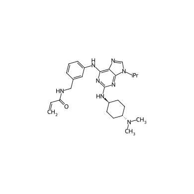 C=CC(=O)NCc1cccc(Nc2nc(N[C@H]3CC[C@H](N(C)C)CC3)nc3c2ncn3C(C)C)c1